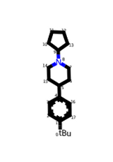 CC(C)(C)c1ccc(C2CCN(C3CCCC3)CC2)cc1